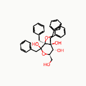 OC[C@H]1OC(O)(Cc2ccccc2)[C@@](Cc2ccccc2)(OCc2ccccc2)[C@](O)(Cc2ccccc2)[C@@H]1O